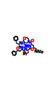 CNCCC[C@@H](NC(=O)[C@@H](CC(C)C)NC(=O)[C@@H](CCc1ccccc1)NC(=O)[C@H](N)Cc1ccccc1)C(=O)N1CCCOCC1